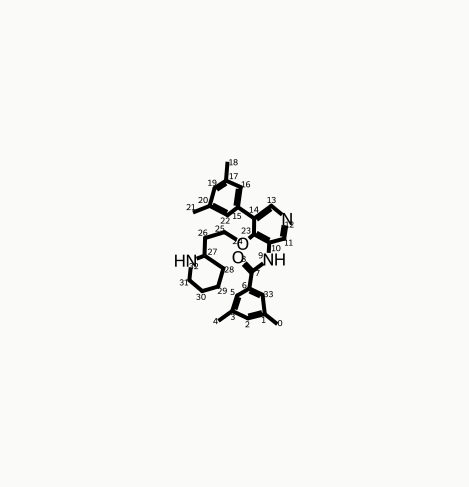 Cc1cc(C)cc(C(=O)Nc2cncc(-c3cc(C)cc(C)c3)c2OCCC2CCCCN2)c1